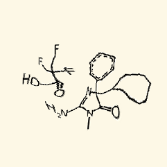 CN1C(=O)C(c2ccccc2)(C2CCCC2)N=C1N.O=C(O)C(F)(F)F